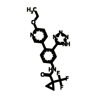 CCOc1ccc(-c2ccc(NC(=O)C3(C(F)(F)F)CC3)cc2-c2nnn[nH]2)cn1